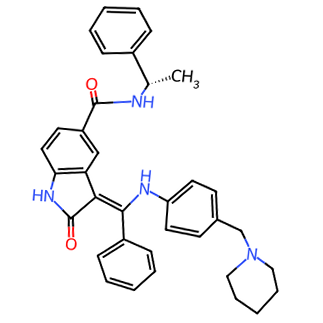 C[C@H](NC(=O)c1ccc2c(c1)C(=C(Nc1ccc(CN3CCCCC3)cc1)c1ccccc1)C(=O)N2)c1ccccc1